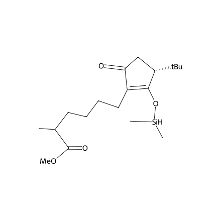 COC(=O)C(C)CCCCC1=C(O[SiH](C)C)[C@@H](C(C)(C)C)CC1=O